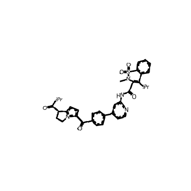 CC(C)C(=O)C1CCn2c(C(=O)c3ccc(-c4ccnc(NC(=O)C5=C(C(C)C)c6ccccc6S(=O)(=O)N5C)c4)cc3)ccc21